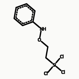 Cl[Si](Cl)(Cl)CCONc1ccccc1